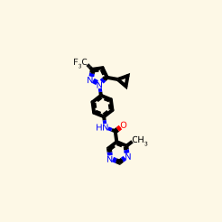 Cc1ncncc1C(=O)Nc1ccc(-n2nc(C(F)(F)F)cc2C2CC2)cc1